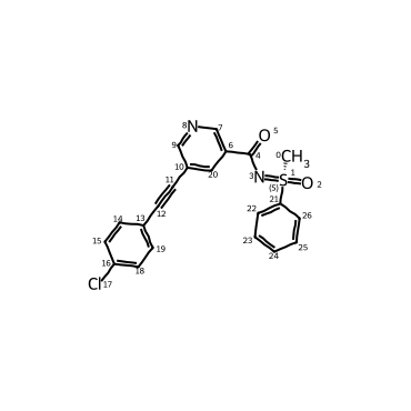 C[S@@](=O)(=NC(=O)c1cncc(C#Cc2ccc(Cl)cc2)c1)c1ccccc1